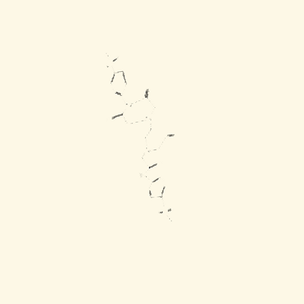 NS(=O)(=O)c1ccc(NC(=O)CN(CC=O)CCN2CC(=O)N(c3ccc(S(N)(=O)=O)cc3)C(=O)C2)cc1